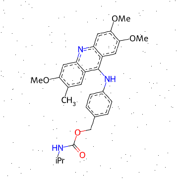 COc1cc2nc3cc(OC)c(OC)cc3c(Nc3ccc(COC(=O)NC(C)C)cc3)c2cc1C